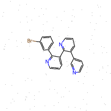 Brc1cccc(-c2ncccc2-c2ncccc2-c2cccnc2)c1